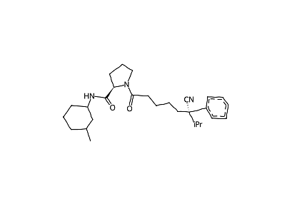 CC1CCCC(NC(=O)[C@H]2CCCN2C(=O)CCCC[C@@](C#N)(c2ccccc2)C(C)C)C1